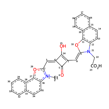 CC[n+]1c(/C=C2\C(=O)C(/C=C3\Oc4c(ccc5ccccc45)N3CC(=O)O)=C2O)oc2c3ccccc3ccc21